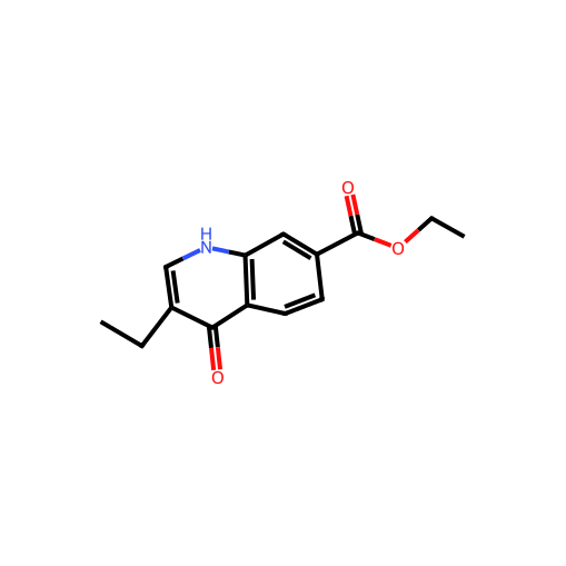 CCOC(=O)c1ccc2c(=O)c(CC)c[nH]c2c1